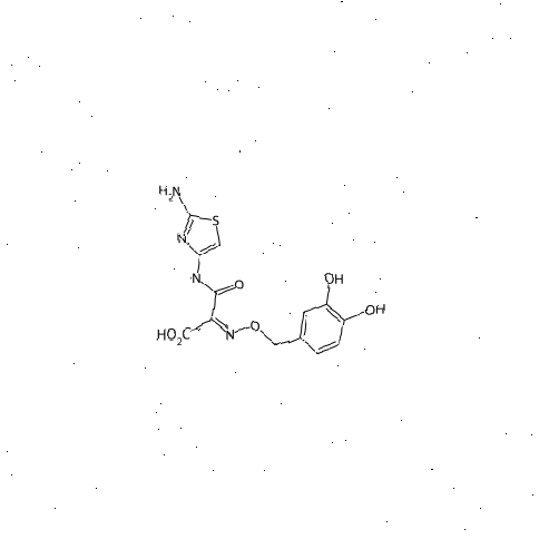 Nc1nc([N]C(=O)C(=NOCc2ccc(O)c(O)c2)C(=O)O)cs1